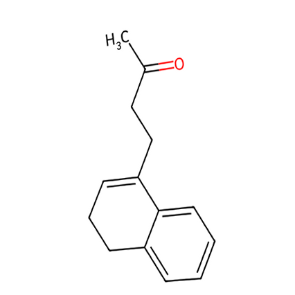 CC(=O)CCC1=CCCc2ccccc21